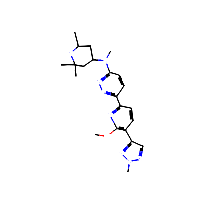 COc1nc(-c2ccc(N(C)C3CC(C)NC(C)(C)C3)nn2)ccc1-c1cnn(C)n1